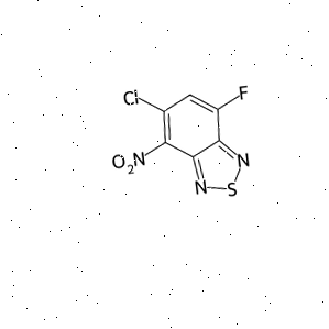 O=[N+]([O-])c1c(Cl)cc(F)c2nsnc12